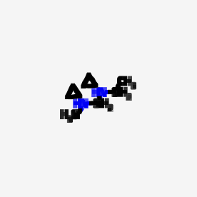 C1CC1.C1CC1.C[SiH2]N[SiH2]N[SiH3]